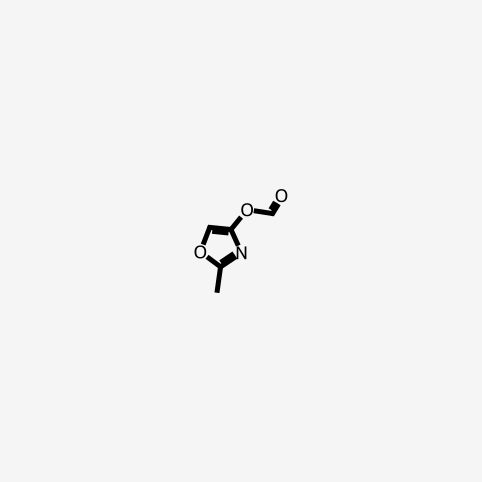 Cc1nc(OC=O)co1